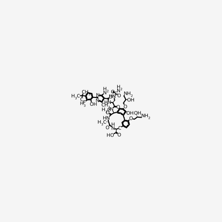 Cc1nc(-c2ccc(C(C)(C)C)c(F)c2O)nc(N)c1C(=O)N[C@@H](CNS(N)(=O)=O)C(=O)N(C)[C@@H]1C(=O)N[C@@H](C)C(=O)N[C@H](C(=O)O)Cc2ccc(OC[C@H](O)CN)c(c2)-c2cc1cc(OC[C@H](O)CN)c2O